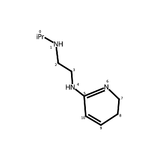 CC(C)NCCNC1=NCCC=C1